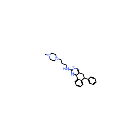 CN1CCN(CCCNc2ncc3c(n2)-c2ccccc2C(c2ccccc2)C3)CC1